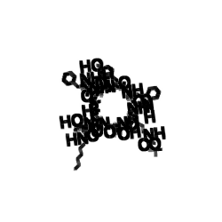 CCCCCCNC(=O)[C@@H](NC(=O)[C@@H]1CSSC[C@H](NC(=O)[C@H](N)Cc2ccccc2)C(=O)N[C@@H](Cc2ccc(O)cc2)C(=O)N[C@H](Cc2c[nH]c3ccccc23)C(=O)N[C@@H](CCCCNC(=O)OC(C)(C)C)C(=O)N[C@@H]([C@@H](C)O)C(=O)N1)[C@@H](C)O